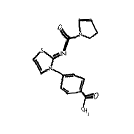 CC(=O)c1ccc(-n2ccsc2=NC(=O)N2CCCC2)cc1